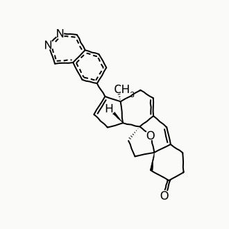 C[C@]12CC=C3C=C4CCC(=O)C[C@]45CC[C@]3(O5)[C@@H]1CC=C2c1ccc2cnncc2c1